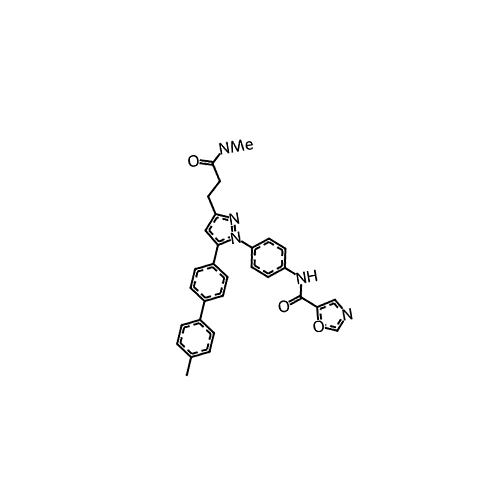 CNC(=O)CCc1cc(-c2ccc(-c3ccc(C)cc3)cc2)n(-c2ccc(NC(=O)c3cnco3)cc2)n1